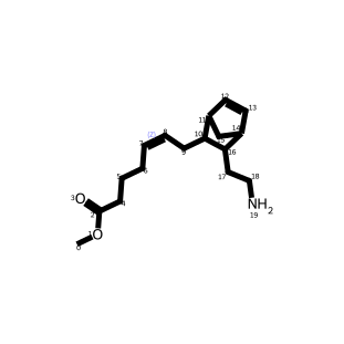 COC(=O)CCC/C=C\CC1C2C=CC(C2)C1CCN